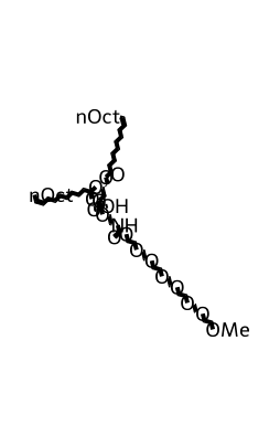 CCCCCCCC/C=C\CCCCCCCC(=O)OC[C@H](COP(=O)(O)OCCNC(=O)OCCOCCOCCOCCOCCOCCOCCOC)OC(=O)CCCCCCC/C=C\CCCCCCCC